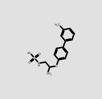 Cc1cccc(-c2ccc(OC(C)CNS(=O)(=O)C(C)C)cc2)c1